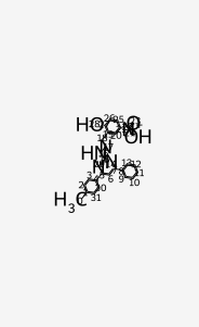 Cc1ccc(-c2cc(-c3ccccc3)nc(NN=Cc3cc([N+](=O)O)ccc3O)n2)cc1